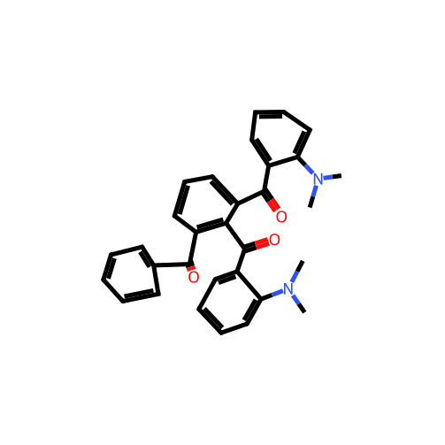 CN(C)c1ccccc1C(=O)c1cccc(C(=O)c2ccccc2)c1C(=O)c1ccccc1N(C)C